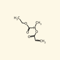 C=CC(=O)ON(C)C(=O)OCC